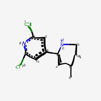 CC1C=C(c2cc(Cl)nc(Cl)c2)NCC1